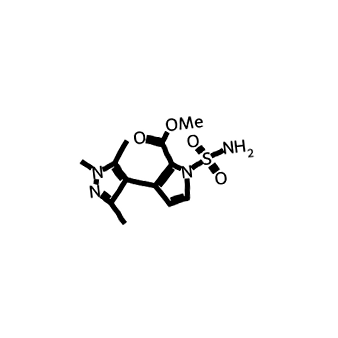 COC(=O)c1c(-c2c(C)nn(C)c2C)ccn1S(N)(=O)=O